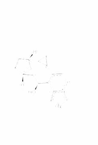 O[C@H](c1c(C2CC2)ccn2cncc12)[C@H]1C[C@H]2CC[C@@H]1C2